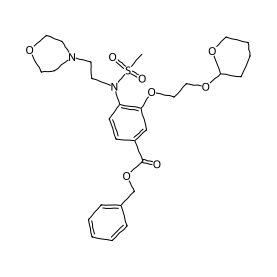 CS(=O)(=O)N(CCN1CCOCC1)c1ccc(C(=O)OCc2ccccc2)cc1OCCOC1CCCCO1